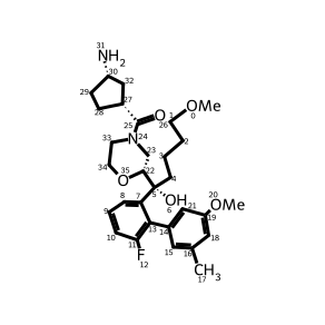 COCCCC[C@@](O)(c1cccc(F)c1-c1cc(C)cc(OC)c1)[C@H]1CN(C(=O)[C@@H]2CC[C@H](N)C2)CCO1